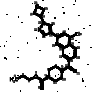 CCCOC(=O)N1CCN(C(=O)c2ccc3c(Cl)cc(-c4cnn(C5COC5)c4)nc3c2)CC1